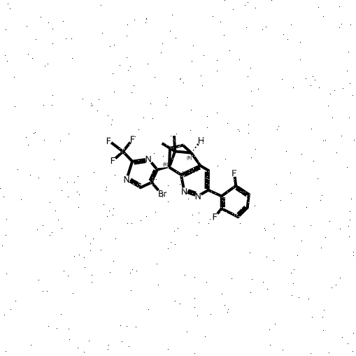 CC1(C)[C@H]2CC[C@@]1(c1nc(C(F)(F)F)ncc1Br)c1nnc(-c3c(F)cccc3F)cc12